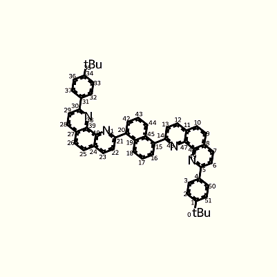 CC(C)(C)c1ccc(-c2ccc3ccc4ccc(-c5cccc6c(-c7ccc8ccc9ccc(-c%10ccc(C(C)(C)C)cc%10)nc9c8n7)cccc56)nc4c3n2)cc1